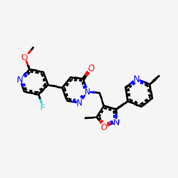 COc1cc(-c2cnn(Cc3c(-c4ccc(C)nc4)noc3C)c(=O)c2)c(F)cn1